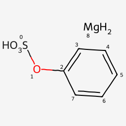 O=S(=O)(O)Oc1ccccc1.[MgH2]